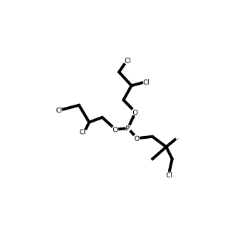 [CH2]C(C)(CCl)COP(OCC(Cl)CCl)OCC(Cl)CCl